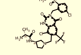 CCS(=O)(=O)c1ccc(Cl)cc1Cn1c(=O)[nH]c2c(Cl)c(CN3CC[C@@H](NC(=O)[C@@H](C)N)C3)c(C(F)(F)F)cc2c1=O